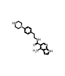 Nc1c(C(=O)NCCc2ccc(N3CCNCC3)cc2)cnc2[nH]ccc12